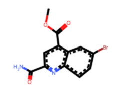 COC(=O)c1cc(C(N)=O)nc2ccc(Br)cc12